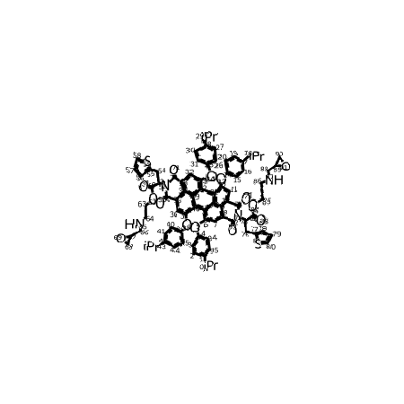 CC(C)c1ccc(Oc2cc3c4c(cc(Oc5ccc(C(C)C)cc5)c5c6c(Oc7ccc(C(C)C)cc7)cc7c8c(cc(Oc9ccc(C(C)C)cc9)c(c2c45)c86)C(=O)N(C(Cc2cccs2)C(=O)OCCNCC2CO2)C7=O)C(=O)N(C(Cc2cccs2)C(=O)OCCNCC2CO2)C3=O)cc1